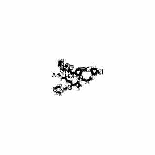 CC(=O)N(C)CC/C=C/[C@H](OCCN1CCOCC1)[C@@H]1CC[C@H]1CN1CCCCc2cc(Cl)ccc2COc2ccc([C@@H](O)C(=O)NS(=O)(=O)N3CCC3)cc21